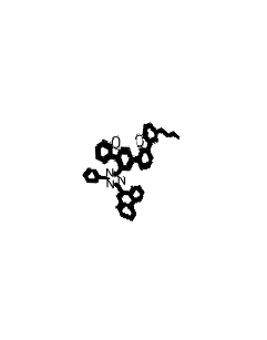 CCCCc1ccc2oc3c(-c4cc(-c5nc(-c6ccccc6)nc(-c6cc7ccccc7c7ccccc67)n5)c5c(c4)oc4ccccc45)cccc3c2c1